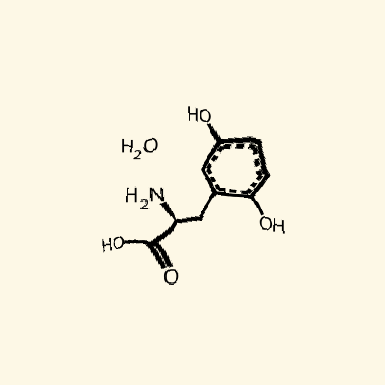 N[C@@H](Cc1cc(O)ccc1O)C(=O)O.O